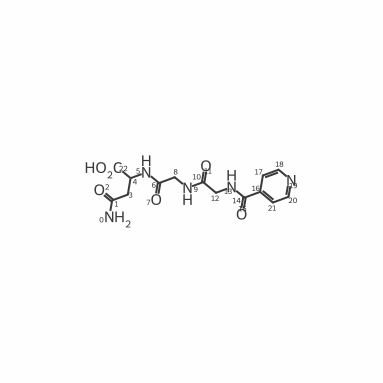 NC(=O)CC(NC(=O)CNC(=O)CNC(=O)c1ccncc1)C(=O)O